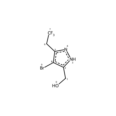 OCc1[nH]nc(CC(F)(F)F)c1Br